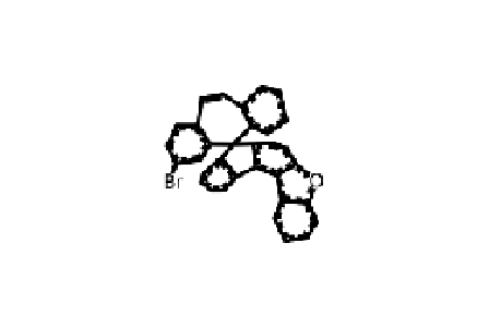 Brc1ccc2c(c1)C1(c3ccccc3C=C2)c2ccccc2-c2c1ccc1oc3ccccc3c21